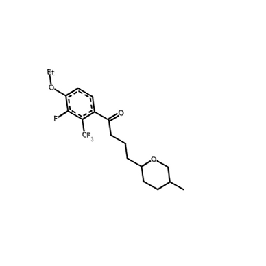 CCOc1ccc(C(=O)CCCC2CCC(C)CO2)c(C(F)(F)F)c1F